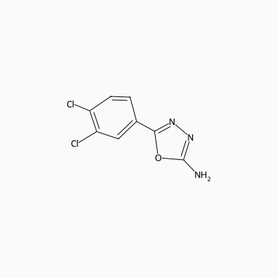 Nc1nnc(-c2ccc(Cl)c(Cl)c2)o1